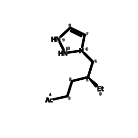 CC[C@@H](CCC(C)=O)CN1C=CNN1